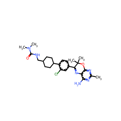 Cc1nc(N)c2c(n1)OC(C)(C)C(c1ccc(C3CCC(CNC(=O)N(C)C)CC3)c(Cl)c1)=N2